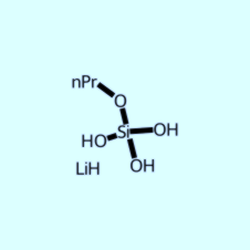 CCCO[Si](O)(O)O.[LiH]